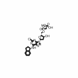 O=P(O)(O)CP(=O)(O)OC[C@H]1O[C@@H](n2nnc3c(N[C@H]4CCc5ccccc54)nc(Cl)nc32)C[C@@H]1O